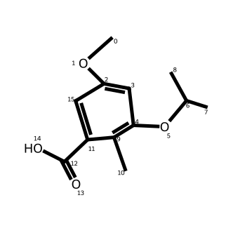 COc1cc(OC(C)C)c(C)c(C(=O)O)c1